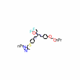 C=C/C(OC(F)F)=C(\C=C\c1ccc(OCCOCCC)cc1)/C=C/c1ccc(SCc2c(C)ncn2CCC)cc1